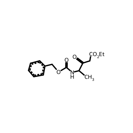 CCOC(=O)CC(=O)C(C)NC(=O)OCc1ccccc1